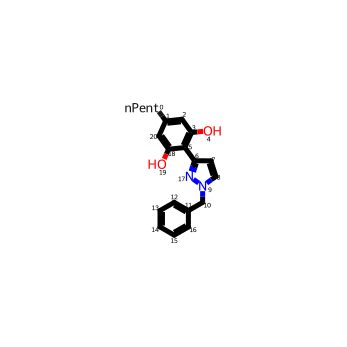 CCCCCc1cc(O)c(-c2ccn(Cc3ccccc3)n2)c(O)c1